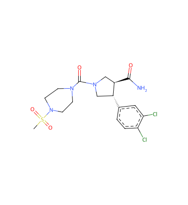 CS(=O)(=O)N1CCN(C(=O)N2C[C@@H](C(N)=O)[C@H](c3ccc(Cl)c(Cl)c3)C2)CC1